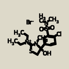 CC[N+](CC)=C1SCC(O)(c2ccc(Cl)c(S(=O)(=O)N(C)C)c2)N1C.[Br-]